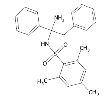 Cc1cc(C)c(S(=O)(=O)NC(N)(Cc2ccccc2)c2ccccc2)c(C)c1